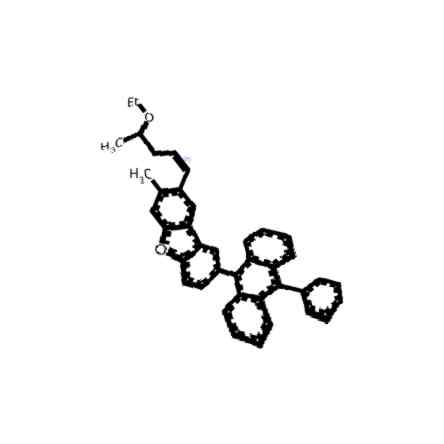 CCOC(C)C/C=C\c1cc2c(cc1C)oc1ccc(-c3c4ccccc4c(-c4ccccc4)c4ccccc34)cc12